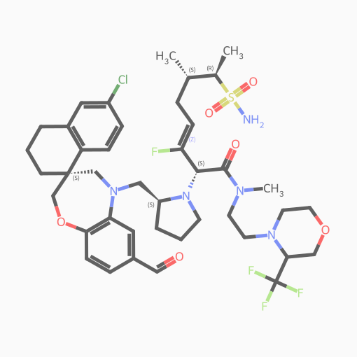 C[C@H]([C@@H](C)C/C=C(\F)[C@H](C(=O)N(C)CCN1CCOCC1C(F)(F)F)N1CCC[C@H]1CN1C[C@@]2(CCCc3cc(Cl)ccc32)COc2ccc(C=O)cc21)S(N)(=O)=O